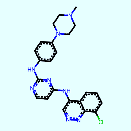 CN1CCN(c2ccc(Nc3nccc(Nc4cnnc5c(Cl)cccc45)n3)cc2)CC1